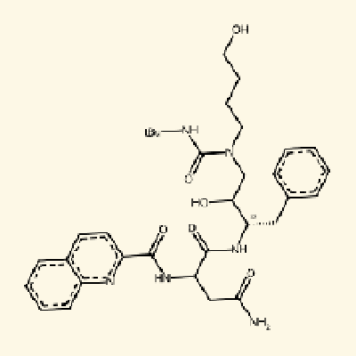 CC(C)(C)NC(=O)N(CCCCO)CC(O)[C@H](Cc1ccccc1)NC(=O)C(CC(N)=O)NC(=O)c1ccc2ccccc2n1